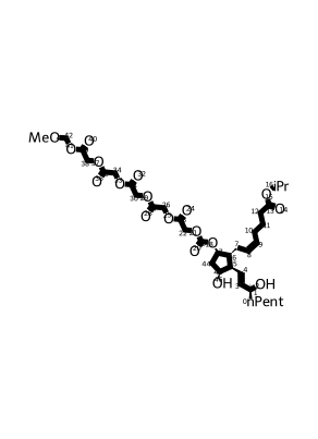 CCCCC[C@H](O)/C=C/[C@@H]1[C@@H](C/C=C\CCCC(=O)OC(C)C)[C@@H](OC(=O)OCC(=O)OCC(=O)OCC(=O)OCC(=O)OCC(=O)OCOC)C[C@H]1O